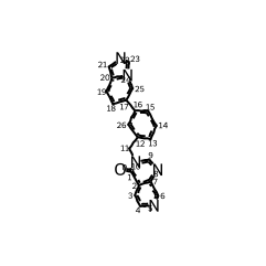 O=c1c2ccncc2ncn1Cc1cccc(-c2ccc3cncn3c2)c1